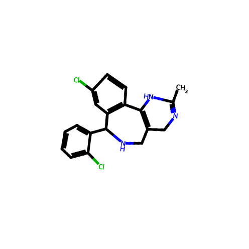 CC1=NCC2=C(N1)c1ccc(Cl)cc1C(c1ccccc1Cl)NC2